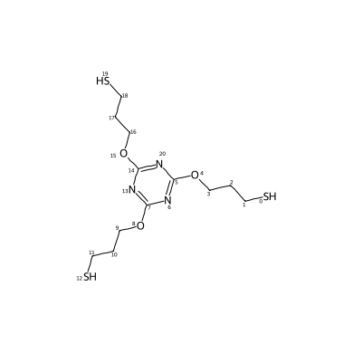 SCCCOc1nc(OCCCS)nc(OCCCS)n1